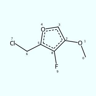 COc1coc(CCl)c1F